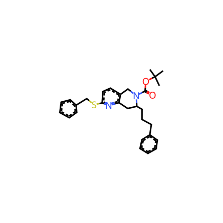 CC(C)(C)OC(=O)N1Cc2ccc(SCc3ccccc3)nc2CC1CCCc1ccccc1